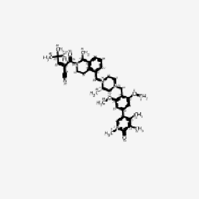 COc1cc(-c2cn(C)c(=O)c(C)c2C)cc(OC)c1CN1CCN(Cc2cccc3c2CCN(C(=O)/C(C#N)=C\C(C)(C)C)C3C)[C@@H](C)C1